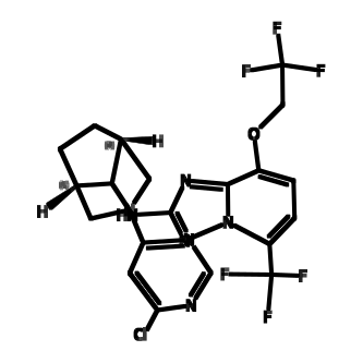 FC(F)(F)COc1ccc(C(F)(F)F)n2nc(NC3[C@@H]4CC[C@H]3CN(c3cc(Cl)ncn3)C4)nc12